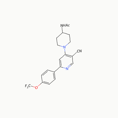 CC(=O)NC1CCN(c2cc(-c3ccc(OC(F)(F)F)cc3)ncc2C#N)CC1